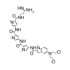 Cn1cc(NC(=O)c2cc(NC(=O)c3cc(NC(=O)c4cc5cc(N(CCCl)CCCl)ccc5n4C)cn3C)cn2C)cc1C(=O)NCCC(=N)N